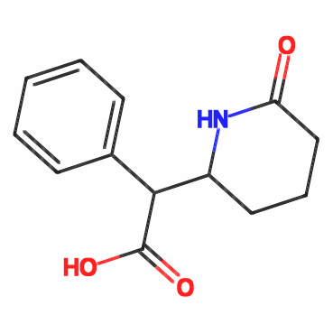 O=C1CCCC(C(C(=O)O)c2ccccc2)N1